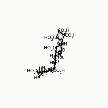 C#CC[C@]1(NC(=O)NC2S[C@@]2(CCC(=O)N[C@H](CCCNC(=O)CCC(=O)NCCCC[C@@H](CCC(=O)[C@@H](CNC(=O)c2ccc([SiH2]C(C)(C)C)cc2)NC(=O)CN2CCN(CC(=O)O)CCN(CC(=O)O)CCN(CC(=O)O)CC2)C(=O)O)C(=O)O)C(=O)O)SC1C(=O)O